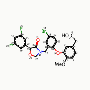 COc1ccc(CC(=O)O)cc1Oc1ccc(Br)cc1CN1CO[C@@H](c2cc(F)cc(F)c2)C1=O